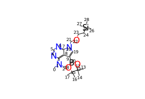 CN(C)c1ncnc2c1c(B1OC(C)(C)C(C)(C)O1)cn2COCC[Si](C)(C)C